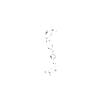 CC(=O)SCC(COc1ccc(C(C)(C)c2ccc(OCC(CSC(C)=O)SC(C)=O)cc2)cc1)SC(C)=O